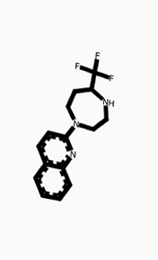 FC(F)(F)C1CCN(c2ccc3ccccc3n2)CCN1